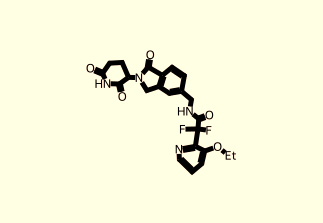 CCOc1cccnc1C(F)(F)C(=O)NCc1ccc2c(c1)CN(C1CCC(=O)NC1=O)C2=O